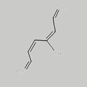 C=C/C=C\C(C=O)=C/C=C